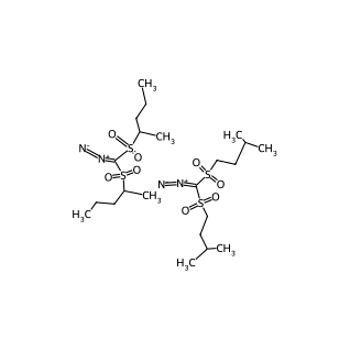 CC(C)CCS(=O)(=O)C(=[N+]=[N-])S(=O)(=O)CCC(C)C.CCCC(C)S(=O)(=O)C(=[N+]=[N-])S(=O)(=O)C(C)CCC